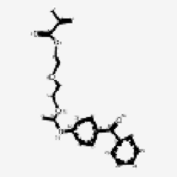 C=C(C)C(=O)OCCOCCOC(C)Oc1ccc(C(=O)c2ccccc2)cc1